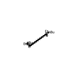 CCCCC(CC)COC(=O)CCCCCCCCCCCCCCCCCCC(=O)OCC(CC)CCCC